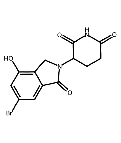 O=C1CCC(N2Cc3c(O)cc(Br)cc3C2=O)C(=O)N1